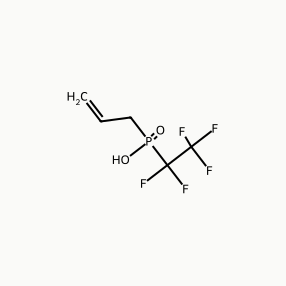 C=CCP(=O)(O)C(F)(F)C(F)(F)F